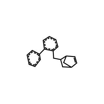 C1=CC2CC1CC2Cc1ccccc1-c1ccccc1